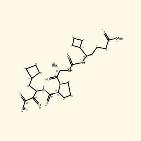 COC(=O)CCC[C@@H](NC(=O)N[C@H](C(=O)N1CCC[C@H]1C(=O)NC(CC1CCC1)C(=O)C(N)=O)C(C)(C)C)C1CCC1